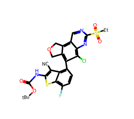 CCS(=O)(=O)c1ncc2c3c(c(-c4ccc(F)c5sc(NC(=O)OC(C)(C)C)c(C#N)c45)c(Cl)c2n1)COC3